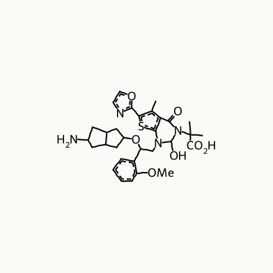 COc1ccccc1C(CN1c2sc(-c3ncco3)c(C)c2C(=O)N(C(C)(C)C(=O)O)C1O)OC1CC2CC(N)CC2C1